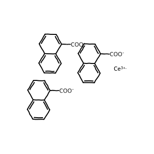 O=C([O-])c1cccc2ccccc12.O=C([O-])c1cccc2ccccc12.O=C([O-])c1cccc2ccccc12.[Ce+3]